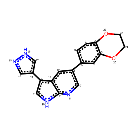 c1cc2c(cc1-c1cnc3[nH]cc(-c4cn[nH]c4)c3c1)OCCO2